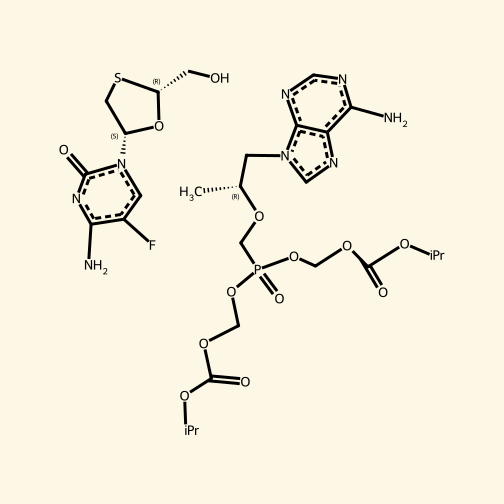 CC(C)OC(=O)OCOP(=O)(CO[C@H](C)Cn1cnc2c(N)ncnc21)OCOC(=O)OC(C)C.Nc1nc(=O)n([C@@H]2CS[C@H](CO)O2)cc1F